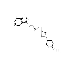 Cc1ccc2onc(NCC(=O)NC3CN(C4CCC(C)CC4)C3)c2c1